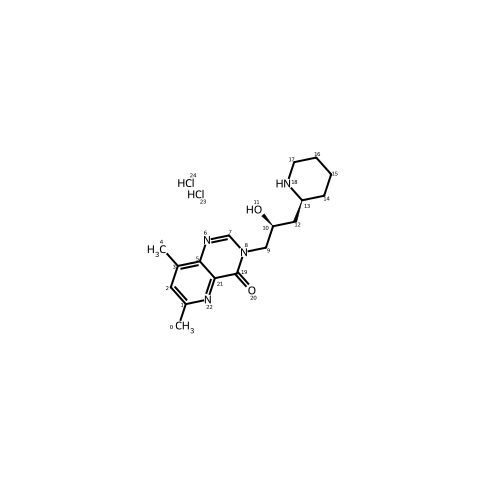 Cc1cc(C)c2ncn(C[C@@H](O)C[C@@H]3CCCCN3)c(=O)c2n1.Cl.Cl